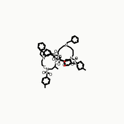 Cc1ccc(S(=O)(=O)N2CCCN(Cc3ccccc3)CCC[N+]([N+]3(S(=O)(=O)c4ccc(C)cc4)CCCN(Cc4ccccc4)CCCN(S(=O)(=O)c4ccc(C)cc4)CC(C)C3)(S(=O)(=O)c3ccc(C)cc3)CC(=O)C2)cc1